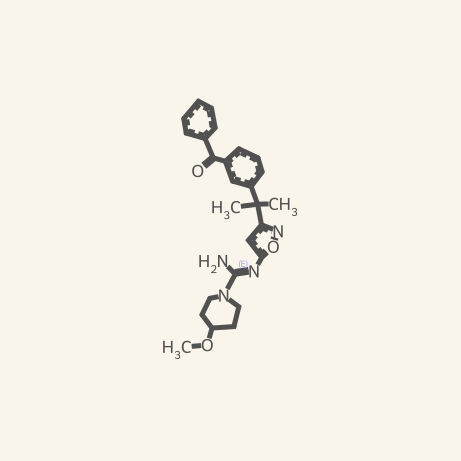 COC1CCN(/C(N)=N/c2cc(C(C)(C)c3cccc(C(=O)c4ccccc4)c3)no2)CC1